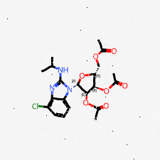 CC(=O)OC[C@H]1O[C@@H](n2c(NC(C)C)nc3c(Cl)cccc32)[C@H](OC(C)=O)[C@@H]1OC(C)=O